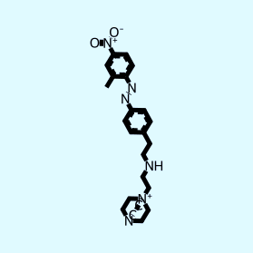 Cc1cc([N+](=O)[O-])ccc1N=Nc1ccc(CCNCC[N+]23CCN(CC2)CC3)cc1